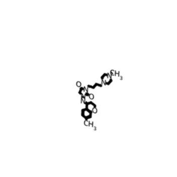 Cc1ccc2c(c1)OCC/C2=N\N1CC(=O)N(CCCCN2CCN(C)CC2)C1=O